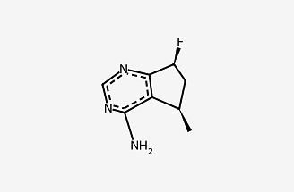 C[C@@H]1C[C@H](F)c2ncnc(N)c21